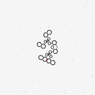 c1cc2c(c(OP(Oc3cccc4ccccc34)Oc3cccc4ccccc34)c1)Oc1c(cccc1OP(Oc1cccc3ccccc13)Oc1cccc3ccccc13)C2